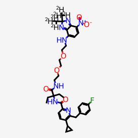 [2H]C([2H])([2H])C1(C([2H])([2H])[2H])N=c2c(NCCOCCOCCNC(=O)C(CC)(CC)NC(=O)c3ccc(C4CC4)c(Cc4ccc(F)cc4)n3)ccc([N+](=O)[O-])c2=N1